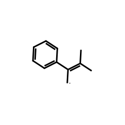 [CH2]C(=C(C)C)c1ccccc1